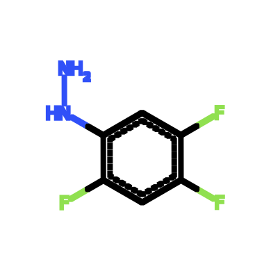 NNc1cc(F)c(F)cc1F